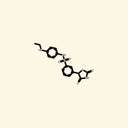 CCBc1ccc(NS(=O)(=O)c2cccc(C3SC(=O)NC3=O)c2)cc1